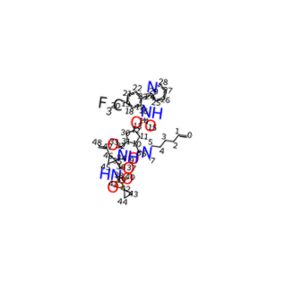 C=CCCCCN(C)C(=O)C1CC(OC(=O)Nc2cc(C(F)(F)F)ccc2-c2ccccn2)CC1C(=O)NC1(C(=O)NS(=O)(=O)C2CC2)CC1C=C